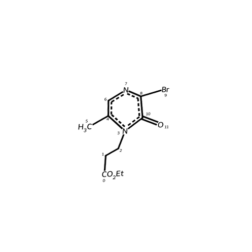 CCOC(=O)CCn1c(C)cnc(Br)c1=O